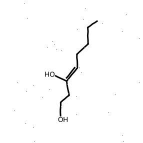 CCCC/[C]=C(\O)CCO